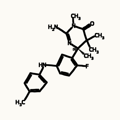 Cc1ccc(Nc2ccc(F)c([C@@]3(C)N=C(N)N(C)C(=O)C3(C)C)c2)cc1